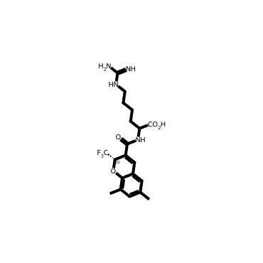 Cc1cc(C)c2c(c1)C=C(C(=O)NC(CCCCNC(=N)N)C(=O)O)[C@@H](C(F)(F)F)O2